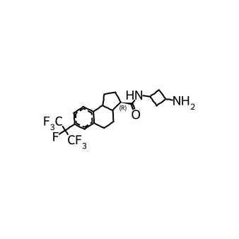 NC1CC(NC(=O)[C@@H]2CCC3c4ccc(C(F)(C(F)(F)F)C(F)(F)F)cc4CCC32)C1